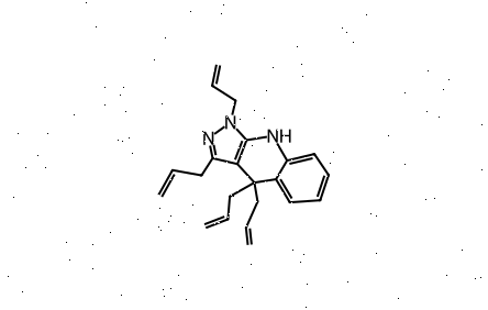 C=CCc1nn(CC=C)c2c1C(CC=C)(CC=C)c1ccccc1N2